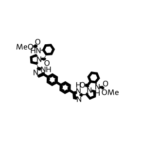 COC(=O)N[C@@H]1CCCCC1C(=O)N1CCC[C@H]1c1ncc(-c2ccc(-c3ccc(-c4cnc([C@@H]5CCCN5C(=O)[C@H]5CCCC[C@H]5NC(=O)OC)[nH]4)cc3)cc2)[nH]1